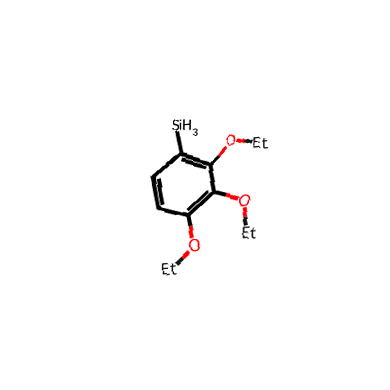 CCOc1ccc([SiH3])c(OCC)c1OCC